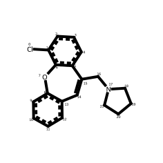 Clc1cccc2c1Oc1ccccc1C=C2CN1CCCC1